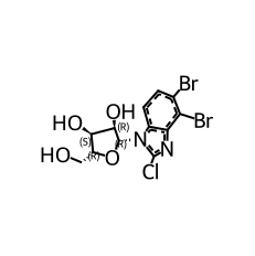 OC[C@H]1O[C@@H](n2c(Cl)nc3c(Br)c(Br)ccc32)[C@H](O)[C@@H]1O